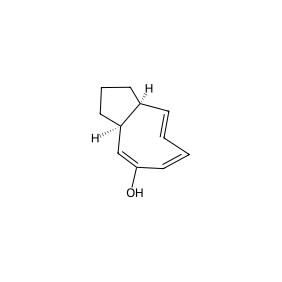 OC1=C[C@H]2CCC[C@H]2/C=C/C=C\1